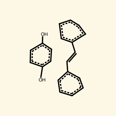 C(=Cc1ccccc1)c1ccccc1.Oc1ccc(O)cc1